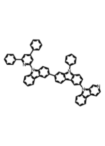 c1ccc(-c2cc(-c3ccccc3)nc(-n3c4ccccc4c4cc(-c5ccc6c7cc(-n8c9ccccc9c9ccncc98)ccc7n(-c7ccccc7)c6c5)ccc43)c2)cc1